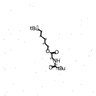 CC(C)(C)CCCCCOC(=O)CNC(=O)C(C)(C)C